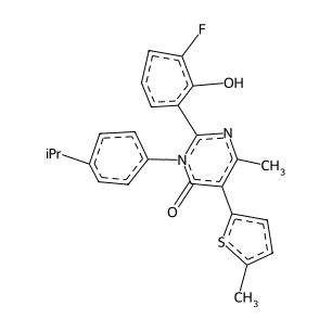 Cc1ccc(-c2c(C)nc(-c3cccc(F)c3O)n(-c3ccc(C(C)C)cc3)c2=O)s1